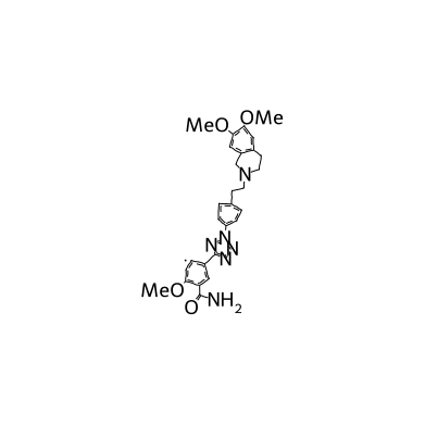 COc1cc2c(cc1OC)CN(CCc1ccc(-n3nnc(-c4[c]cc(OC)c(C(N)=O)c4)n3)cc1)CC2